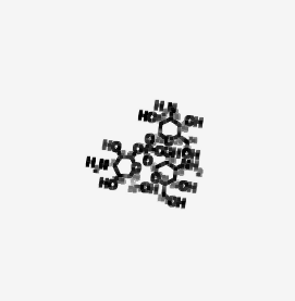 N[C@@H]1[C@@H](O)[C@@H](OP(=O)(O[C@H]2O[C@H](CO)[C@@H](O)[C@H](N)[C@H]2O)O[C@H]2O[C@H](CO)[C@@H](O)[C@H](N)[C@H]2O)O[C@H](CO)[C@H]1O